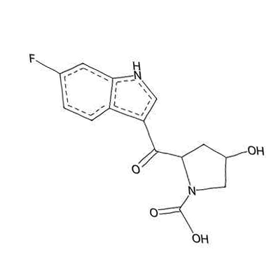 O=C(c1c[nH]c2cc(F)ccc12)C1CC(O)CN1C(=O)O